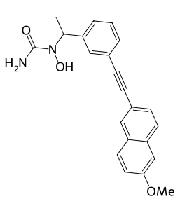 COc1ccc2cc(C#Cc3cccc(C(C)N(O)C(N)=O)c3)ccc2c1